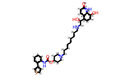 O=C(Nc1ccccc1-c1ccsc1)OC1CCN(CCCCCCCCCNCC(O)c2ccc(O)c3[nH]c(=O)ccc23)CC1